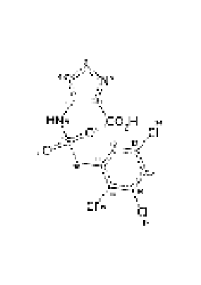 O=C(O)c1ncsc1NS(=O)(=O)Cc1cc(Cl)cc(Cl)c1Cl